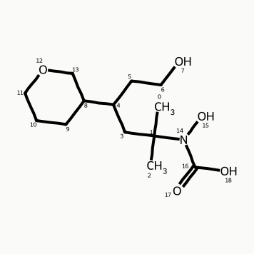 CC(C)(CC(CCO)C1CCCOC1)N(O)C(=O)O